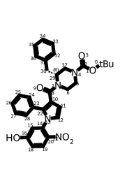 CC(C)(C)OC(=O)N1CCN(C(=O)c2ccn(-c3cc(O)ccc3[N+](=O)[O-])c2-c2ccccc2)[C@H](Cc2ccccc2)C1